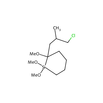 COC1(CC(C)CCl)CCCC[Si]1(OC)OC